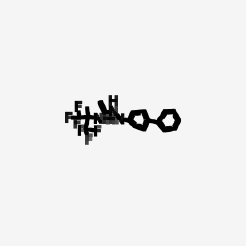 C=C(NNc1ccc(-c2ccccc2)cc1)NC(C)(C(F)(F)F)C(F)(F)F